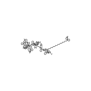 CC(=O)CNC(=O)C(CN)NC(=O)[C@H](CCC(=O)OF)NC(=O)CNC(=O)[C@H](CN)NC(=O)CCCNC(=O)CCC(NC(=O)CCCCCCCCCCCCCCCCC(=O)OF)C(N)=O